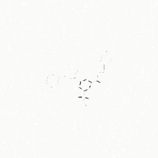 O=C(OCC1CCCCC1)c1cc(C(O)OCC2CCCCC2)cc(S(=O)(=O)O)c1